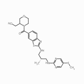 CSc1cnc(NC[C@H](C)CNc2nc3ccc(C(=O)N4CCOCC4CO)cc3s2)nc1